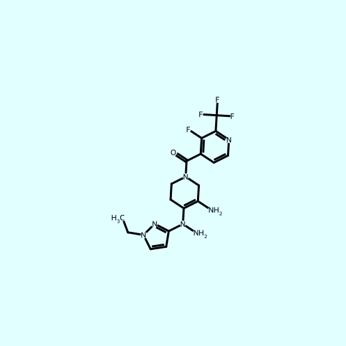 CCn1ccc(N(N)C2=C(N)CN(C(=O)c3ccnc(C(F)(F)F)c3F)CC2)n1